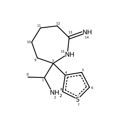 CC(N)C1(c2ccsc2)CCCCC(=N)N1